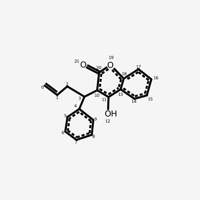 C=CCC(c1ccccc1)c1c(O)c2ccccc2oc1=O